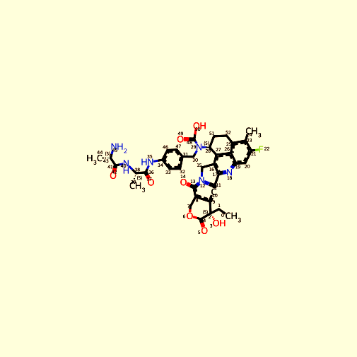 CC[C@@]1(O)C(=O)OCc2c1cc1n(c2=O)Cc2c-1nc1cc(F)c(C)c3c1c2[C@@H](N(Cc1ccc(NC(=O)[C@H](C)NC(=O)[C@H](C)N)cc1)C(=O)O)CC3